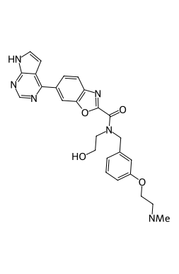 CNCCOc1cccc(CN(CCO)C(=O)c2nc3ccc(-c4ncnc5[nH]ccc45)cc3o2)c1